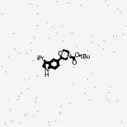 CC(C)c1c[nH]c2ccc(C3CN(C(=O)OC(C)(C)C)CCO3)cc12